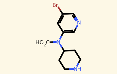 O=C(O)N(c1cncc(Br)c1)C1CCNCC1